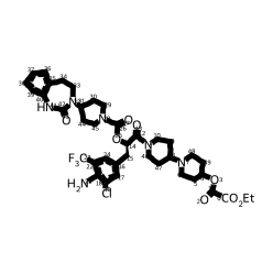 CCOC(=O)C(=O)OC1CCN(C2CCN(C(=O)[C@@H](Cc3cc(Cl)c(N)c(C(F)(F)F)c3)OC(=O)N3CCC(N4CCc5ccccc5NC4=O)CC3)CC2)CC1